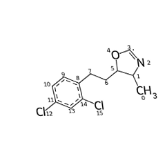 CC1N=[C]OC1CCc1ccc(Cl)cc1Cl